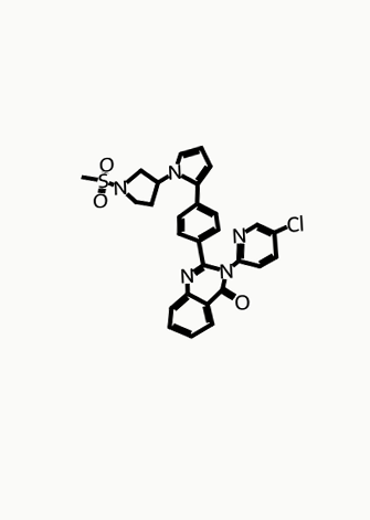 CS(=O)(=O)N1CCC(n2cccc2-c2ccc(-c3nc4ccccc4c(=O)n3-c3ccc(Cl)cn3)cc2)C1